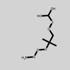 CC(C)(COSC(O)O)OOON